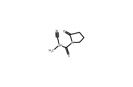 C[SH](C#N)C(=S)N1CCCC1=O